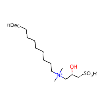 CCCCCCCCCCCCCCCCCC[N+](C)(C)CC(O)CS(=O)(=O)O